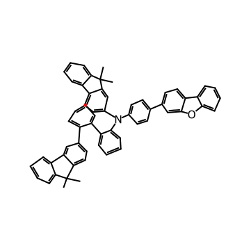 CC1(C)c2ccccc2-c2cc(-c3ccccc3-c3ccccc3N(c3ccc(-c4ccc5c(c4)oc4ccccc45)cc3)c3ccc4c(c3)C(C)(C)c3ccccc3-4)ccc21